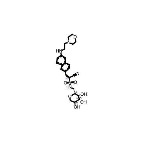 N#C/C(=C\c1ccc2cc(NCCN3CCOCC3)ccc2c1)S(=O)(=O)NC[C@H]1OC[C@H](O)[C@@H](O)[C@@H]1O